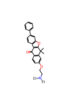 CCN(CC)CCOc1ccc2c(c1)C(C)(C)c1oc3cc(-c4ccccc4)ccc3c1C2=O